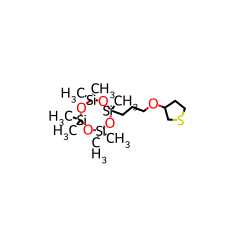 C[Si]1(C)O[Si](C)(C)O[Si](C)(CCCOC2CCSC2)O[Si](C)(C)O1